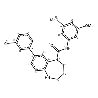 COc1cc(NC(=O)N2CCCNc3ccc(-c4cccc(Cl)c4)nc32)nc(OC)n1